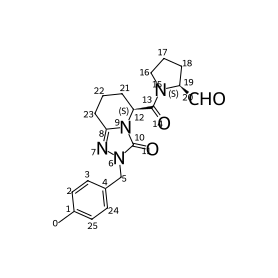 Cc1ccc(Cn2nc3n(c2=O)[C@H](C(=O)N2CCC[C@H]2C=O)CCC3)cc1